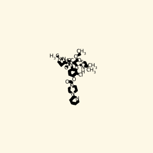 CCOC(=O)[C@@](C)(C(=O)[C@H]1NC(C)(C)CS1)N(c1ccc(OC(=O)N2CCN(c3ccccn3)CC2)c(Cl)c1)S(=O)(=O)c1ccn(C)n1